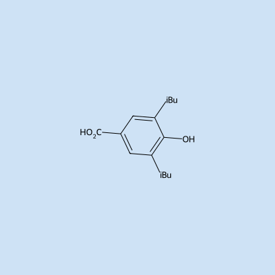 CCC(C)c1cc(C(=O)O)cc(C(C)CC)c1O